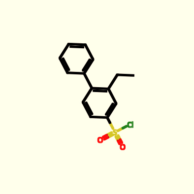 CCc1cc(S(=O)(=O)Cl)ccc1-c1ccccc1